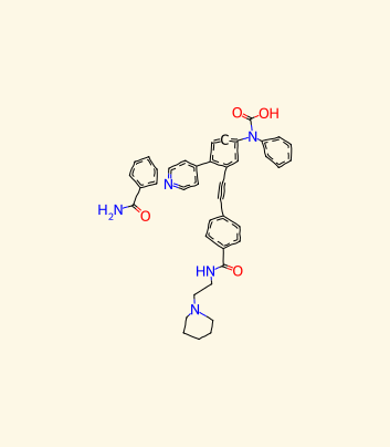 NC(=O)c1ccccc1.O=C(NCCN1CCCCC1)c1ccc(C#Cc2cc(N(C(=O)O)c3ccccc3)ccc2-c2ccncc2)cc1